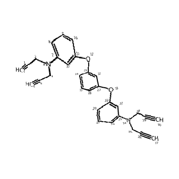 C#CCN(CC#C)c1cccc(Oc2cccc(Oc3cccc(N(CC#C)CC#C)c3)c2)c1